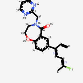 C=C/C(=C\C=C(/C)F)c1ccc2c(c1)C(=O)N(Cc1ncccn1)CCO2